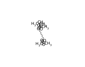 CC(OC(=O)CCCCCCC(=O)OC(C)S(=O)(=O)OC(C)(C)C)S(C)(=O)=O